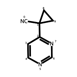 N#CC1(c2ccncn2)CC1